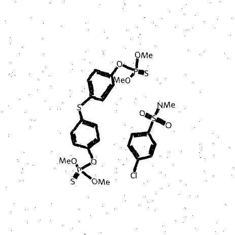 CNS(=O)(=O)c1ccc(Cl)cc1.COP(=S)(OC)Oc1ccc(Sc2ccc(OP(=S)(OC)OC)cc2)cc1